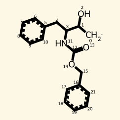 [CH2]C(O)C(Cc1ccccc1)NC(=O)OCc1ccccc1